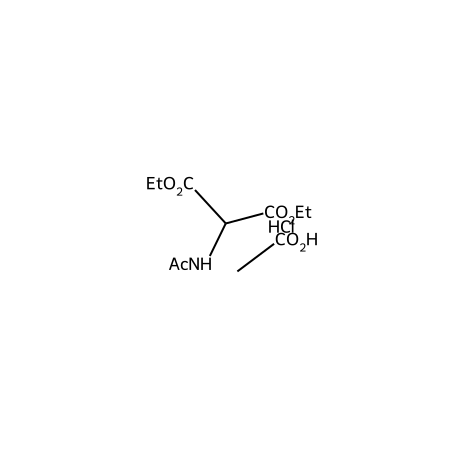 CC(=O)O.CCOC(=O)C(NC(C)=O)C(=O)OCC.Cl